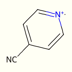 N#CC1=CC=[N+]C=C1